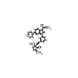 CN1CCC(O)(C#Cc2cccc(-n3nc(C(N)=O)c4ccc(N5CCOCC5)nc43)c2)C1=O